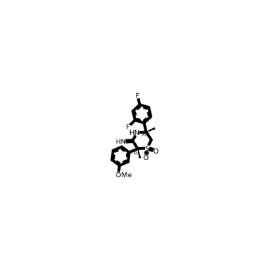 COc1cccc([C@]2(C)C(=N)N[C@](C)(c3ccc(F)cc3F)CS2(=O)=O)c1